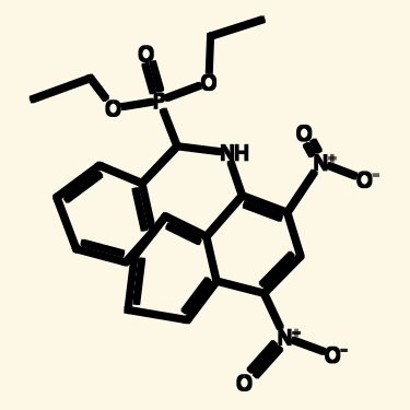 CCOP(=O)(OCC)C(Nc1c([N+](=O)[O-])cc([N+](=O)[O-])c2ccccc12)c1ccccc1